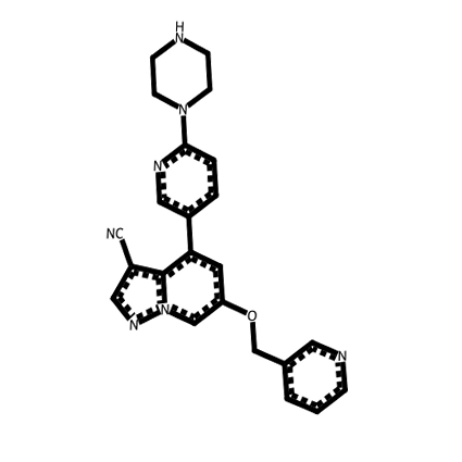 N#Cc1cnn2cc(OCc3cccnc3)cc(-c3ccc(N4CCNCC4)nc3)c12